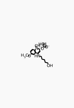 COc1ccc2c(c1)C(NCCCCCO)=CCN2C.I.O=[N+]([O-])O